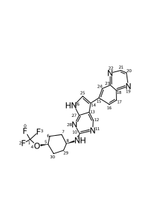 FC(F)(F)O[C@H]1CC[C@@H](Nc2ncc3c(-c4ccc5nccnc5c4)c[nH]c3n2)CC1